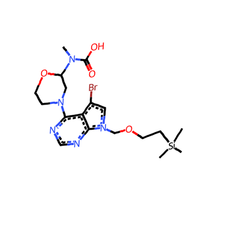 CN(C(=O)O)C1CN(c2ncnc3c2c(Br)cn3COCC[Si](C)(C)C)CCO1